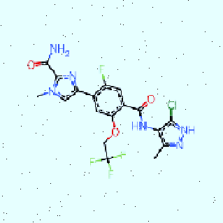 Cc1n[nH]c(Cl)c1NC(=O)c1cc(F)c(-c2cn(C)c(C(N)=O)n2)cc1OCC(F)(F)F